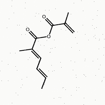 C=C(C)C(=O)OC(=O)C(C)=CC=CC